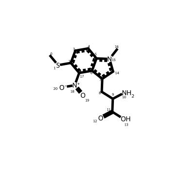 CSc1ccc2c(c(CC(N)C(=O)O)cn2C)c1[N+](=O)[O-]